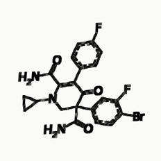 NC(=O)C1=C(c2ccc(F)cc2)C(=O)C(C(N)=O)(c2ccc(Br)c(F)c2)CN1C1CC1